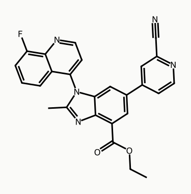 CCOC(=O)c1cc(-c2ccnc(C#N)c2)cc2c1nc(C)n2-c1ccnc2c(F)cccc12